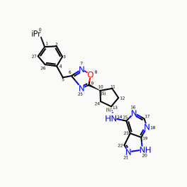 CC(C)c1ccc(Cc2noc([C@H]3CC[C@H](Nc4ncnc5[nH]ncc45)C3)n2)cc1